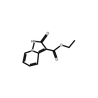 CCOC(=O)c1c(=O)[nH]n2ccccc12